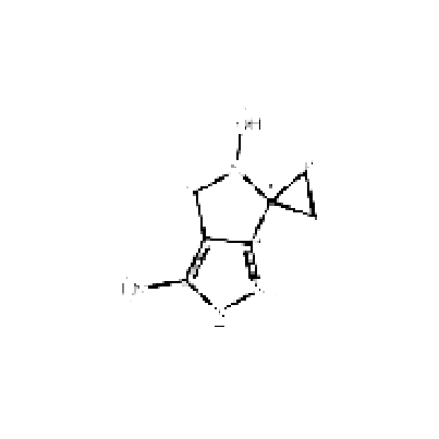 Nc1[nH]nc2c1CN(O)C21CC1